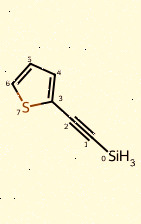 [SiH3]C#Cc1cccs1